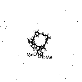 C=CC1=C(C)C2(OCC)NC1(C)C=C1C=CC(=N1)C=c1ccc([nH]1)=CC1=NC(CCC(=O)OC)(C(CCC(=O)OC)=C1C)C2C